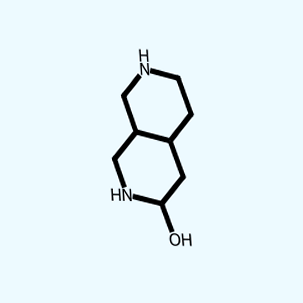 OC1CC2CCNCC2CN1